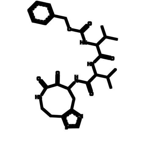 CC(C)C(NC(=O)OCc1ccccc1)C(=O)NC(C(=O)NC1Cc2ncsc2CCNC(=O)C1=O)C(C)C